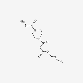 C=CCOC(=O)CC(=O)N1CCN(C(=O)OC(C)(C)C)CC1